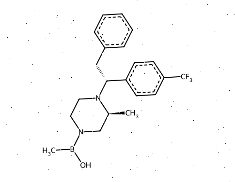 CB(O)N1CCN([C@H](Cc2ccccc2)c2ccc(C(F)(F)F)cc2)[C@@H](C)C1